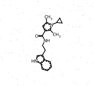 Cc1cc(C(=O)NCCc2c[nH]c3ccccc23)c(C)n1C1CC1